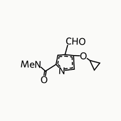 CNC(=O)c1cc(C=O)c(OC2CC2)cn1